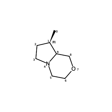 C[C@@H]1CCN2CCOCC12